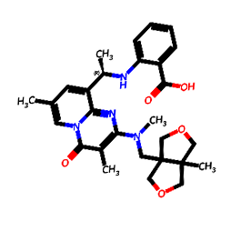 Cc1cc([C@@H](C)Nc2ccccc2C(=O)O)c2nc(N(C)CC34COCC3(C)COC4)c(C)c(=O)n2c1